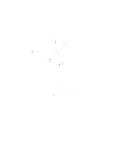 Cc1nc(Nc2ccc(F)cc2)nc(N2CCc3ccc(OC(=O)c4ccccc4Cl)cc3C2C)c1C